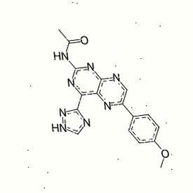 COc1ccc(-c2cnc3nc(NC(C)=O)nc(-c4nc[nH]n4)c3n2)cc1